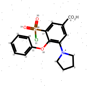 O=C(O)c1cc(N2CCCC2)c(Oc2ccccc2)c(S(=O)(=O)Cl)c1